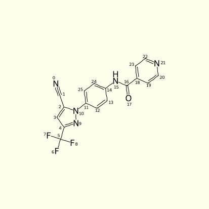 N#Cc1cc(C(F)(F)F)nn1-c1ccc(NC(=O)c2ccncc2)cc1